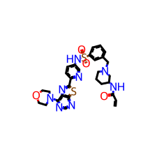 C=CC(=O)NC1CCCN(Cc2cccc(S(=O)(=O)Nc3ccc(-c4nc5c(N6CCOCC6)ncnc5s4)nc3)c2)C1